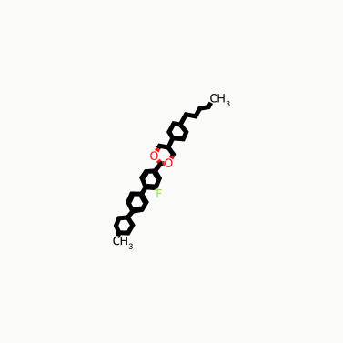 CCCCCC1CCC(C2COC(c3ccc(-c4ccc(C5CCC(C)CC5)cc4)c(F)c3)OC2)CC1